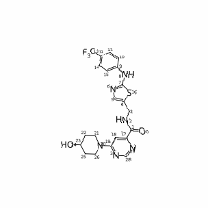 O=C(NCc1cnc(Nc2ccc(C(F)(F)F)cc2)s1)c1cc(N2CCC(O)CC2)ncn1